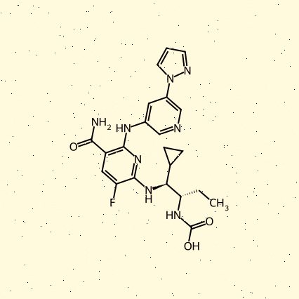 CC[C@H](NC(=O)O)[C@@H](Nc1nc(Nc2cncc(-n3cccn3)c2)c(C(N)=O)cc1F)C1CC1